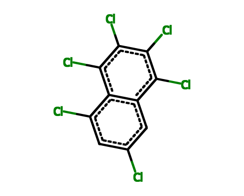 Clc1cc(Cl)c2c(Cl)c(Cl)c(Cl)c(Cl)c2c1